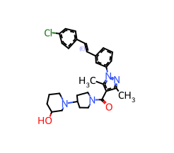 Cc1nn(-c2cccc(/C=C/c3ccc(Cl)cc3)c2)c(C)c1C(=O)N1CCC(N2CCCC(O)C2)CC1